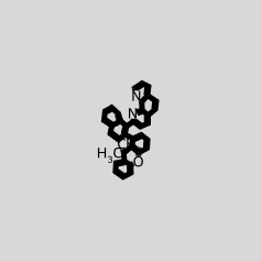 CC1(C)c2ccccc2Oc2cccc(-c3ccc4ccccc4c3-c3ccc4ccc5cccnc5c4n3)c21